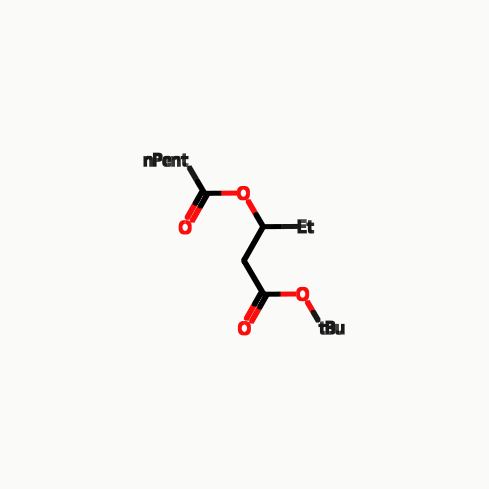 CCCCCC(=O)OC(CC)CC(=O)OC(C)(C)C